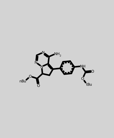 CCCCOC(=O)C1CC(c2ccc(NC(=O)OC(C)(C)C)cc2)=C2C(N)=NC=NN21